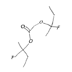 CCC(C)(F)OC(=O)OC(C)(F)CC